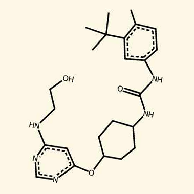 Cc1ccc(NC(=O)NC2CCC(Oc3cc(NCCO)ncn3)CC2)cc1C(C)(C)C